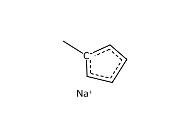 C[c-]1cccc1.[Na+]